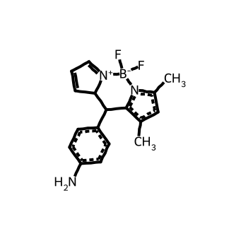 Cc1cc(C)n2c1C(c1ccc(N)cc1)C1C=CC=[N+]1[B-]2(F)F